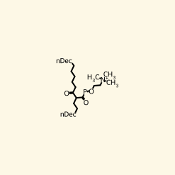 CCCCCCCCCCCCCCCC(=O)C(CCCCCCCCCCCC)C(=O)[P-]OCC[N+](C)(C)C